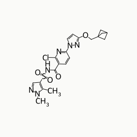 Cc1c(S(=O)(=O)NC(=O)c2ccc(-n3ccc(OCC45CC(C4)C5)n3)nc2Cl)cnn1C